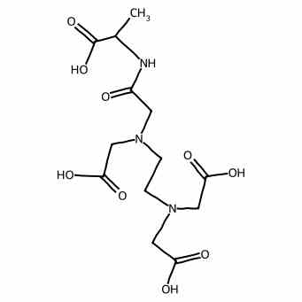 CC(NC(=O)CN(CCN(CC(=O)O)CC(=O)O)CC(=O)O)C(=O)O